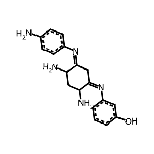 Nc1ccc(/N=C2/C/C(=N/c3cccc(O)c3)C(N)CC2N)cc1